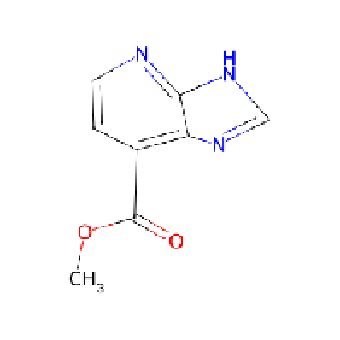 COC(=O)c1ccnc2[nH]cnc12